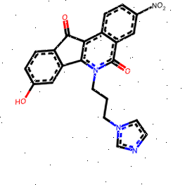 O=C1c2ccc(O)cc2-c2c1c1ccc([N+](=O)[O-])cc1c(=O)n2CCCn1ccnc1